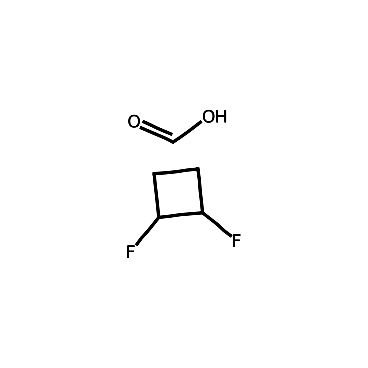 FC1CCC1F.O=CO